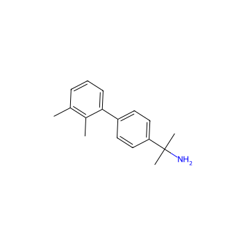 Cc1cccc(-c2ccc(C(C)(C)N)cc2)c1C